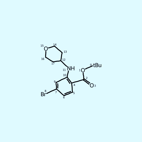 CC(C)(C)OC(=O)c1ccc(Br)cc1NC1CCOCC1